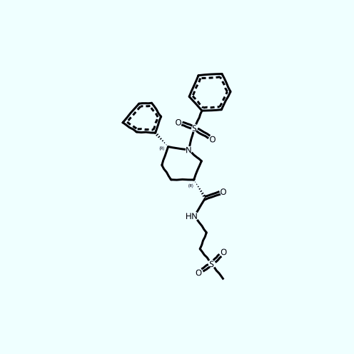 CS(=O)(=O)CCNC(=O)[C@@H]1CC[C@H](c2ccccc2)N(S(=O)(=O)c2ccccc2)C1